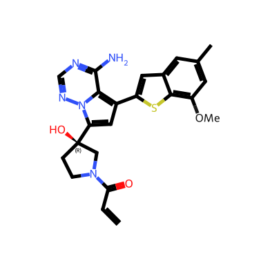 C=CC(=O)N1CC[C@](O)(c2cc(-c3cc4cc(C)cc(OC)c4s3)c3c(N)ncnn23)C1